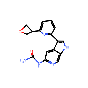 NC(=O)Nc1cc2c(-c3cccc(C4COC4)n3)c[nH]c2cn1